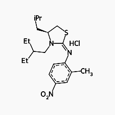 CCC(CC)CN1C(=Nc2ccc([N+](=O)[O-])cc2C)SC[C@@H]1CC(C)C.Cl